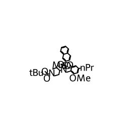 CCCc1cc(OC)c(CN(C2CCN(C(=O)OC(C)(C)C)CC2)S(=O)(=O)c2ccc3ccccc3c2)c(OC)c1